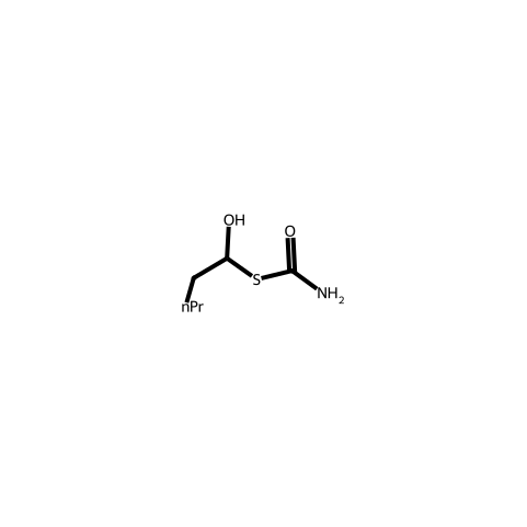 CCCCC(O)SC(N)=O